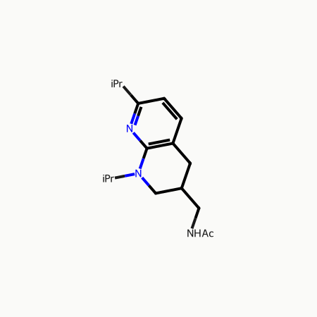 CC(=O)NCC1Cc2ccc(C(C)C)nc2N(C(C)C)C1